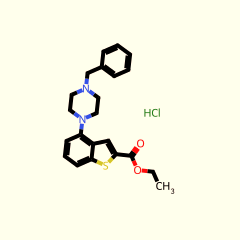 CCOC(=O)c1cc2c(N3CCN(Cc4ccccc4)CC3)cccc2s1.Cl